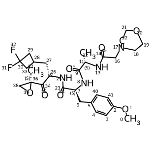 COc1ccc(C[C@H](NC(=O)[C@H](C)NC(=O)CN2CCOCC2)C(=O)N[C@@H](CC2CC(F)(F)C2)C(=O)[C@]2(C)CO2)cc1